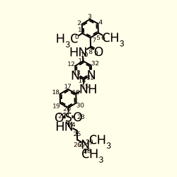 Cc1cccc(C)c1C(=O)Nc1cnc(Nc2cccc(S(=O)(=O)NCCN(C)C)c2)nc1